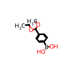 CCOC(OC)c1ccc(B(O)O)cc1